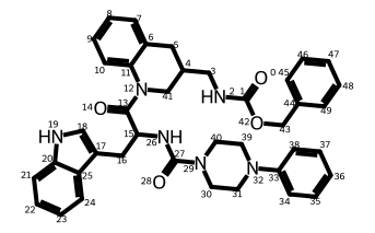 O=C(NCC1Cc2ccccc2N(C(=O)C(Cc2c[nH]c3ccccc23)NC(=O)N2CCN(c3ccccc3)CC2)C1)OCc1ccccc1